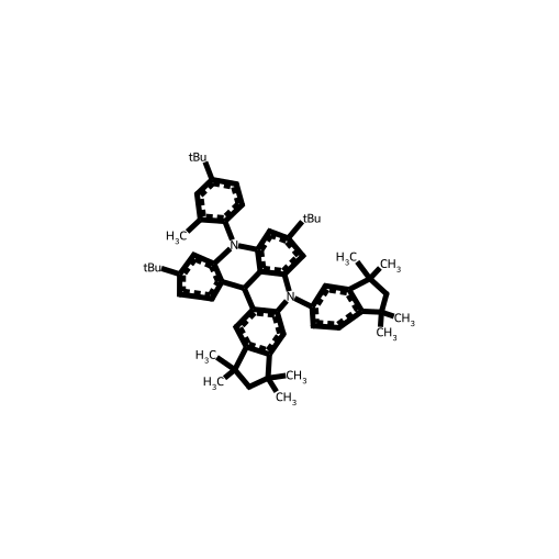 Cc1cc(C(C)(C)C)ccc1N1c2cc(C(C)(C)C)ccc2C2c3cc4c(cc3N(c3ccc5c(c3)C(C)(C)CC5(C)C)c3cc(C(C)(C)C)cc1c32)C(C)(C)CC4(C)C